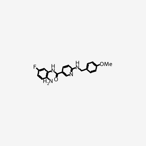 COc1ccc(CNc2ccc(C(=O)Nc3cc(F)ccc3N)cn2)cc1